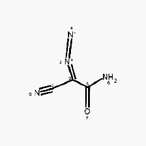 N#CC(=[N+]=[N-])C(N)=O